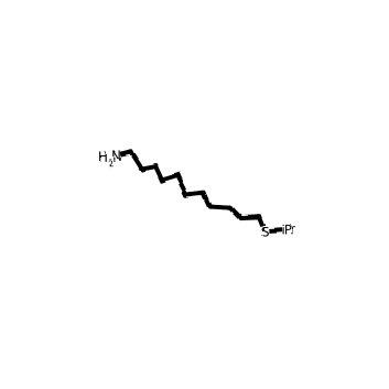 CC(C)SCCCCCCCCCCCN